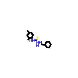 Cc1ccc(NC(=S)NN=CC2CCCCC2)c(C)c1